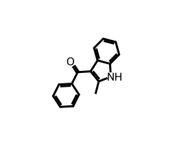 Cc1[nH]c2ccccc2c1C(=O)c1ccccc1